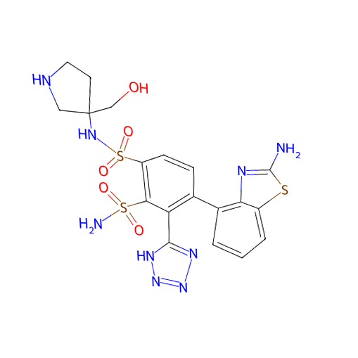 Nc1nc2c(-c3ccc(S(=O)(=O)NC4(CO)CCNC4)c(S(N)(=O)=O)c3-c3nnn[nH]3)cccc2s1